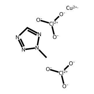 Cn1ncnn1.[Cu+2].[O-][Cl+2]([O-])[O-].[O-][Cl+2]([O-])[O-]